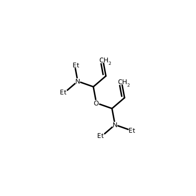 C=CC(OC(C=C)N(CC)CC)N(CC)CC